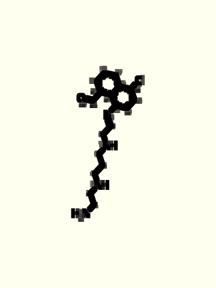 NCCNCCCNCC=Nc1ccc(Cl)c2cccc(C=O)c12